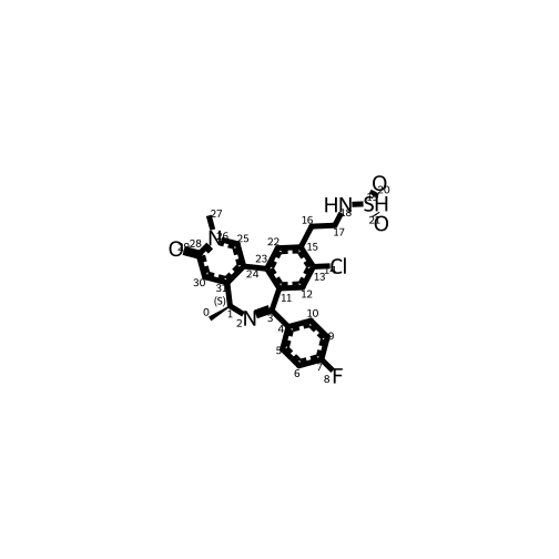 C[C@@H]1N=C(c2ccc(F)cc2)c2cc(Cl)c(CCN[SH](=O)=O)cc2-c2cn(C)c(=O)cc21